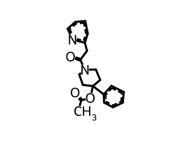 CC(=O)OC1(c2ccccc2)CCN(C(=O)Cc2ccccn2)CC1